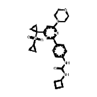 O=C(Nc1ccc(-c2nc(N3CCOCC3)cc(C3(S(=O)(=O)C4CC4)CC3)n2)cc1)NC1CCC1